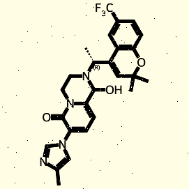 Cc1cn(-c2ccc3n(c2=O)CCN([C@H](C)C2=CC(C)(C)Oc4ccc(C(F)(F)F)cc42)C3O)cn1